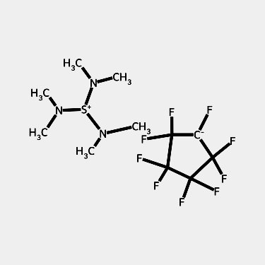 CN(C)[S+](N(C)C)N(C)C.F[C-]1C(F)(F)C(F)(F)C(F)(F)C1(F)F